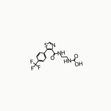 O=C(O)NCCNC(=O)c1ncsc1-c1ccc(C(F)(F)F)cc1